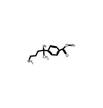 BCCCC(C)(c1ccc(C(=O)OC(C)C)cc1)C(C)C